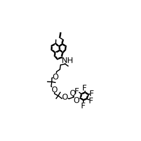 C=C/C=c1/ccc2c(NC(C)CCCOCC(C)(C)COCC(C)(C)COCC(=O)Oc3c(F)c(F)c(F)c(F)c3F)ccc3ccc(C)c1c32